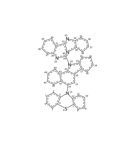 c1ccc2c(c1)Sc1ccccc1N2c1cc2c3ccccc3n(-c3nc4ccccc4c4nc5ccccc5n34)c2c2ccccc12